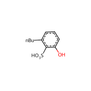 CCCCc1cccc(O)c1S(=O)(=O)O